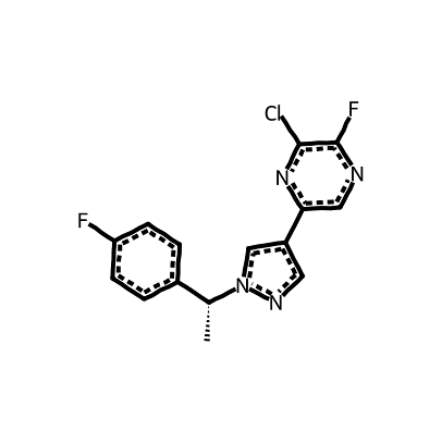 C[C@H](c1ccc(F)cc1)n1cc(-c2cnc(F)c(Cl)n2)cn1